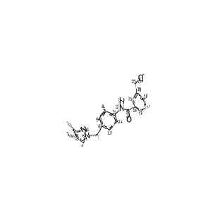 O=C(Nc1ccc(Cn2cccn2)cc1)c1cccc(CCl)c1